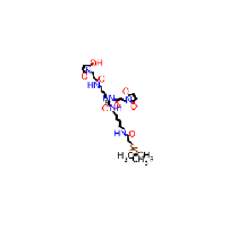 CC(C)(C)SSCCC(=O)NCCCCCCNC(=O)[C@H](CCCCNC(=O)CCN1C(=O)C=CC1O)NC(=O)CCN1C(=O)C=CC1=O